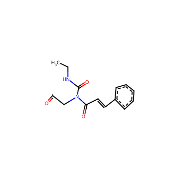 CCNC(=O)N(C[C]=O)C(=O)C=Cc1ccccc1